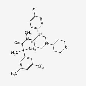 CN(C(=O)C(C)(C)c1cc(C(F)(F)F)cc(C(F)(F)F)c1)[C@@H]1CCN(C2CCSCC2)C[C@H]1c1ccc(F)cc1